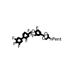 CCCCCC1COC(c2cc(F)c(OC(F)(F)c3ccc(-c4cc(F)c(F)c(F)c4)c(F)c3)c(F)c2)OC1